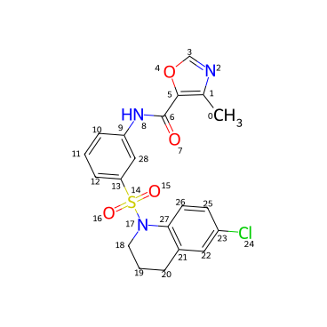 Cc1ncoc1C(=O)Nc1cccc(S(=O)(=O)N2CCCc3cc(Cl)ccc32)c1